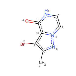 O=c1[nH]ccn2nc(C(F)(F)F)c(Br)c12